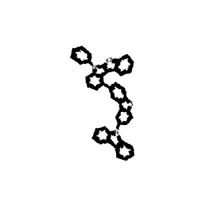 c1ccc(-n2c3cccc(-c4ccc5sc6ccc(-n7c8ccccc8c8ccccc87)cc6c5c4)c3c3c4ccccc4oc32)cc1